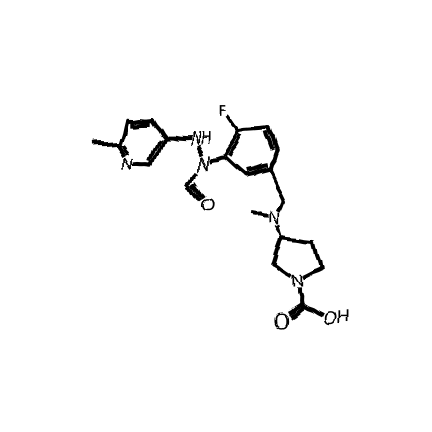 Cc1ccc(NN(C=O)c2cc(CN(C)[C@H]3CCN(C(=O)O)C3)ccc2F)cn1